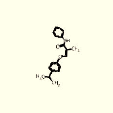 CC(=COc1ccc(C(C)C)cc1)C(=O)Nc1ccccc1